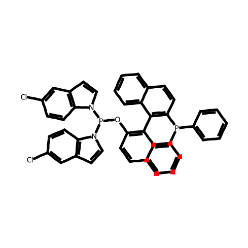 Clc1ccc2c(ccn2P(Oc2ccc3ccccc3c2-c2c(P(c3ccccc3)c3ccccc3)ccc3ccccc23)n2ccc3cc(Cl)ccc32)c1